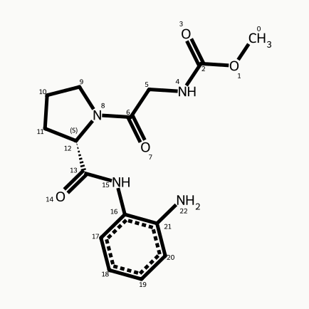 COC(=O)NCC(=O)N1CCC[C@H]1C(=O)Nc1ccccc1N